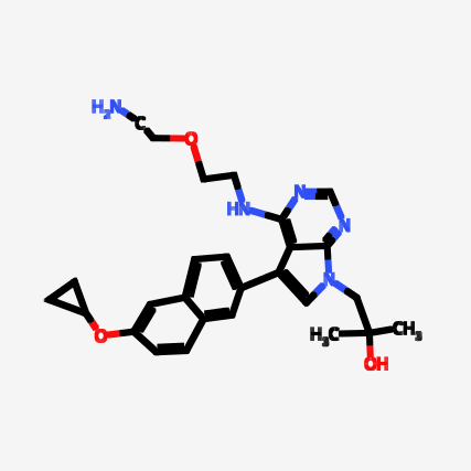 CC(C)(O)Cn1cc(-c2ccc3cc(OC4CC4)ccc3c2)c2c(NCCOCCN)ncnc21